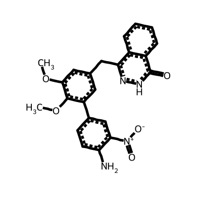 COc1cc(Cc2n[nH]c(=O)c3ccccc23)cc(-c2ccc(N)c([N+](=O)[O-])c2)c1OC